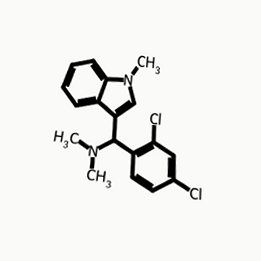 CN(C)C(c1ccc(Cl)cc1Cl)c1cn(C)c2ccccc12